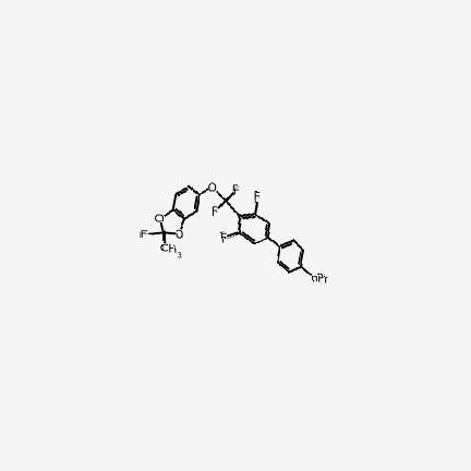 CCCc1ccc(-c2cc(F)c(C(F)(F)Oc3ccc4c(c3)OC(C)(F)O4)c(F)c2)cc1